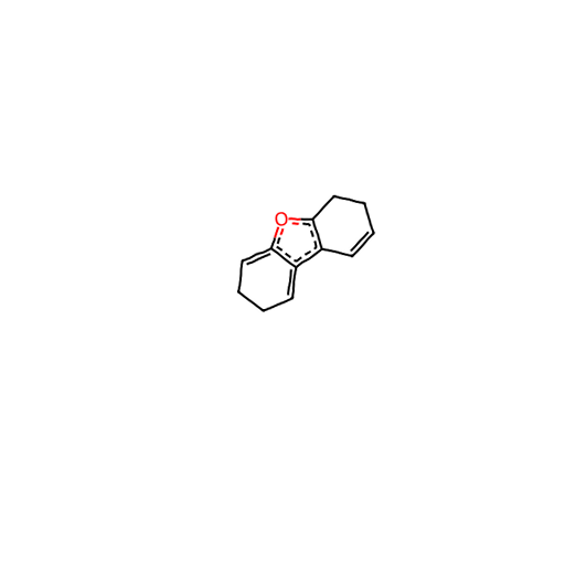 C1=Cc2c(oc3c2=CCCC=3)CC1